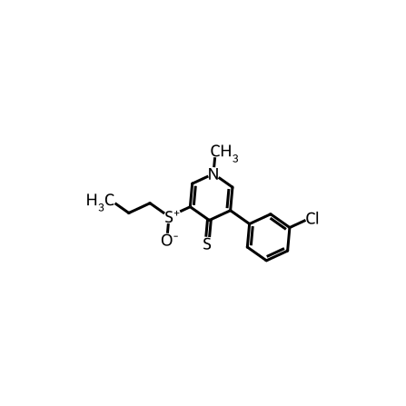 CCC[S+]([O-])c1cn(C)cc(-c2cccc(Cl)c2)c1=S